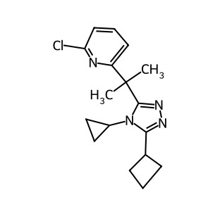 CC(C)(c1cccc(Cl)n1)c1nnc(C2CCC2)n1C1CC1